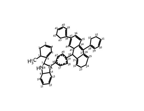 CC1CC=CC=C1C1NC2C=CC=CC2N1c1ccc(C2C3=CCCC=C3C(C3=CC=CCC3)=C3C=CC(C4=CC=CCC4)=CC32)cc1